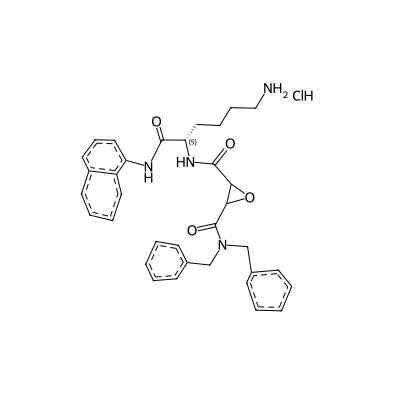 Cl.NCCCC[C@H](NC(=O)C1OC1C(=O)N(Cc1ccccc1)Cc1ccccc1)C(=O)Nc1cccc2ccccc12